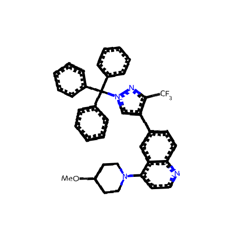 COC1CCN(c2ccnc3ccc(-c4cn(C(c5ccccc5)(c5ccccc5)c5ccccc5)nc4C(F)(F)F)cc23)CC1